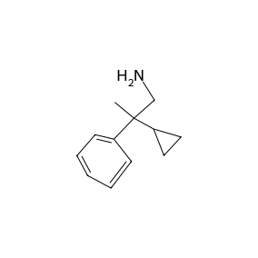 CC(CN)(c1ccccc1)C1CC1